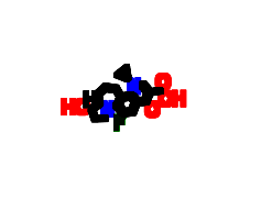 O=C(O)c1cn(C2CC2)c2c3c(c(F)cc2c1=O)N1CC[C@H](O)[C@H]1CC=C3